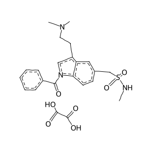 CNS(=O)(=O)Cc1ccc2c(c1)c(CCN(C)C)cn2C(=O)c1ccccc1.O=C(O)C(=O)O